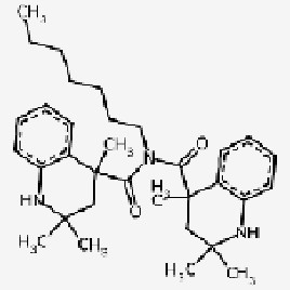 CCCCCCCN(C(=O)C1(C)CC(C)(C)Nc2ccccc21)C(=O)C1(C)CC(C)(C)Nc2ccccc21